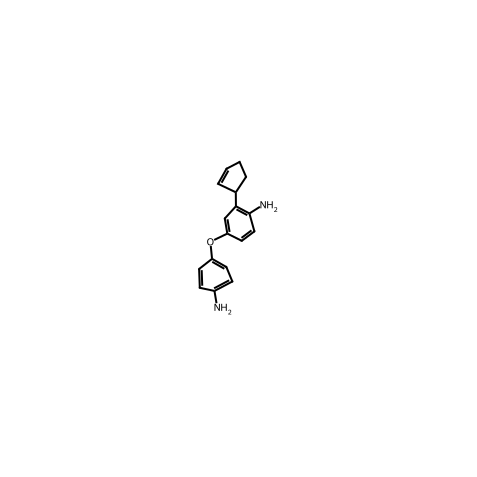 Nc1ccc(Oc2ccc(N)c(C3C=CCC3)c2)cc1